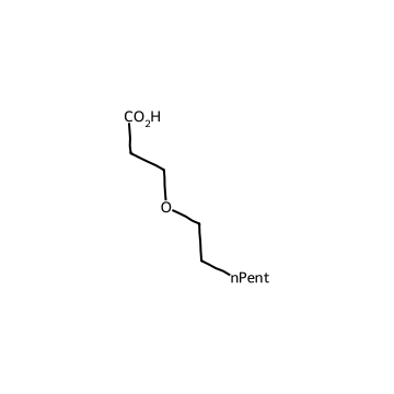 CCCCCCCOCCC(=O)O